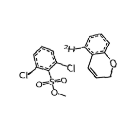 COS(=O)(=O)c1c(Cl)cccc1Cl.[2H]c1cccc2c1C=CCO2